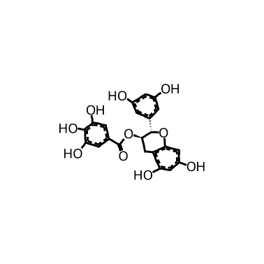 O=C(O[C@@H]1Cc2c(O)cc(O)cc2O[C@H]1c1cc(O)cc(O)c1)c1cc(O)c(O)c(O)c1